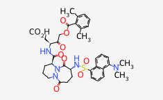 Cc1cccc(C)c1C(=O)OCC(=O)[C@H](CC(=O)O)NC(=O)[C@@H]1CCCN2C(=O)CC[C@H](NS(=O)(=O)c3cccc4c(N(C)C)cccc34)C(=O)N12